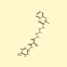 CN(Cc1ccccc1)C(=O)CCCCCNC(=O)NCc1ccc(Cl)cc1